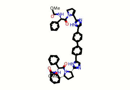 COC(=O)N[C@@H](C(=O)N1CCC=C1c1ncc(-c2ccc(-c3ccc(-c4cnc([C@@H]5CC[C@H](c6ccccc6)N5C(=O)[C@H](NC(=O)OC)c5ccccc5)[nH]4)cc3)cc2)[nH]1)c1ccccc1